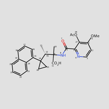 COc1ccnc(C(=O)NC(C)(C(=O)O)[C@@H](C)C2(c3cccc4ccccc34)CC2)c1OC(C)=O